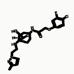 Cc1ccn(CCNC23CCC(NC(=O)COc4ccc(Cl)c(F)c4)(CC2)C[C@@H]3O)n1